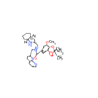 COc1cc(C(=O)N(Cc2ccc3cccnc3n2)C[C@@H]2C[C@@H]3CCCC[C@@H]3N2)cc2c1OC(C)(C)O2